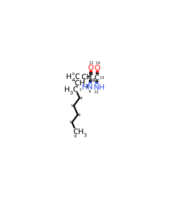 C.C.C.CCCCCC.N=C=O.N=C=O